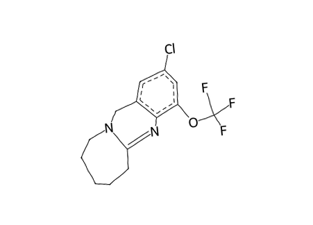 FC(F)(F)Oc1cc(Cl)cc2c1N=C1CCCCCN1C2